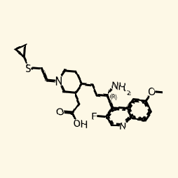 COc1ccc2ncc(F)c([C@H](N)CCC3CCN(CCSC4CC4)CC3CC(=O)O)c2c1